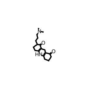 CN(C)CCCC1CCC2=C(CC3=C(CCCC3=O)N2)C1=O